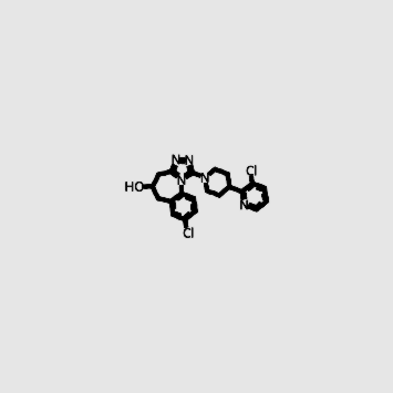 OC1Cc2cc(Cl)ccc2-n2c(nnc2N2CCC(c3ncccc3Cl)CC2)C1